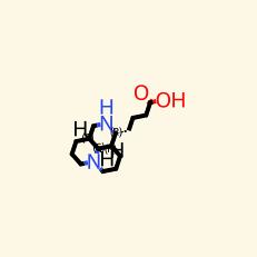 O=C(O)CCC[C@H]1NC[C@@H]2CCCN3CCC[C@H]1[C@H]23